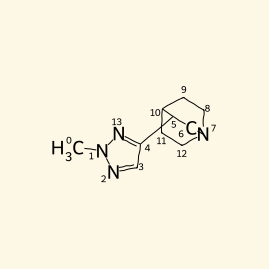 Cn1ncc(C2CN3CCC2CC3)n1